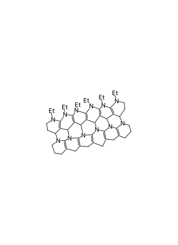 CCN1CCC2C3=C1N(CC)C1=C4C3N3C5=C(CCCN52)CC2=C3N3C5=C(C2)CC2=C6N7C8=C(CCCN8C8CCN(CC)C9=C8C7C7=C(N9CC)N(CC)C(=C(C43)C7N65)N1CC)C2